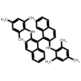 Cc1cc(C)c(Nc2ccc3ccccc3c2-c2c(Nc3c(C)cc(C)cc3C)ccc3ccccc23)c(C)c1